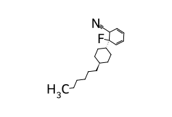 CCCCCC[C@H]1CC[C@H](C2(F)C=CC=CC2C#N)CC1